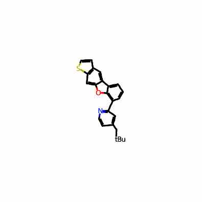 CC(C)(C)Cc1ccnc(-c2cccc3c2oc2cc4sccc4cc23)c1